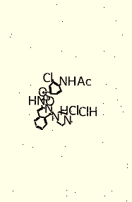 CC(=O)Nc1ccc(S(=O)(=O)Nc2cc3ccccc3c(N3CCN(C)CC3)n2)cc1Cl.Cl.Cl